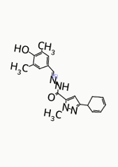 Cc1cc(/C=N/NC(=O)c2cc(C3C=CC=CC3)nn2C)cc(C)c1O